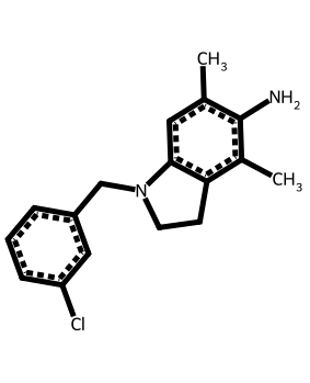 Cc1cc2c(c(C)c1N)CCN2Cc1cccc(Cl)c1